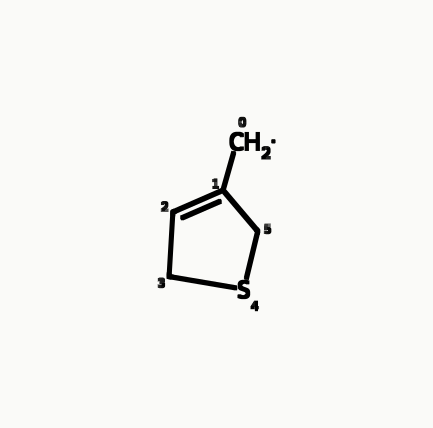 [CH2]C1=CCSC1